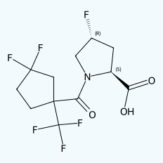 O=C(O)[C@@H]1C[C@@H](F)CN1C(=O)C1(C(F)(F)F)CCC(F)(F)C1